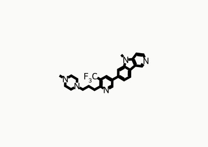 CN1CCN(CCCc2ncc(-c3ccc4c5cnccc5n(C)c4c3)cc2C(F)(F)F)CC1